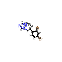 CC(C)CC(Cn1cncn1)c1ccc(Br)cc1Br